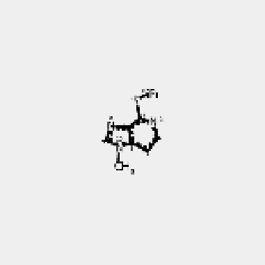 CC(C)Sc1nccc2c1ncn2C